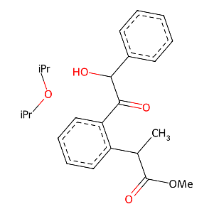 CC(C)OC(C)C.COC(=O)C(C)c1ccccc1C(=O)C(O)c1ccccc1